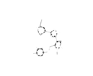 Cc1cc(-c2noc(-c3cnn(C)c3COc3ccc(C(F)(F)F)cc3)n2)ccn1